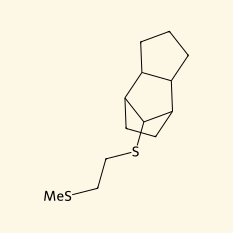 CSCCSC1C2CCC1C1CCCC12